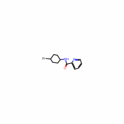 CC(C)C1CCC(NC(=O)c2ccccn2)CC1